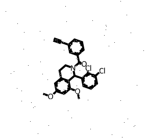 C#Cc1cccc(C(=O)N2CCc3cc(OC)cc(OC)c3C2c2cccc(Cl)c2Cl)c1